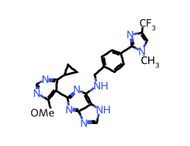 COc1ncnc(C2CC2)c1-c1nc(NCc2ccc(-c3nc(C(F)(F)F)cn3C)cc2)c2[nH]cnc2n1